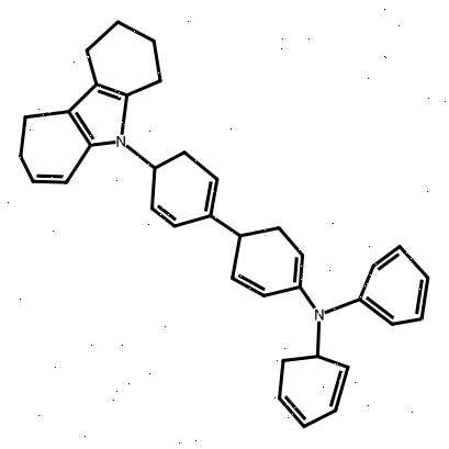 C1=CCC(N(C2=CCC(C3=CCC(n4c5c(c6c4CCCC6)CCC=C5)C=C3)C=C2)c2ccccc2)C=C1